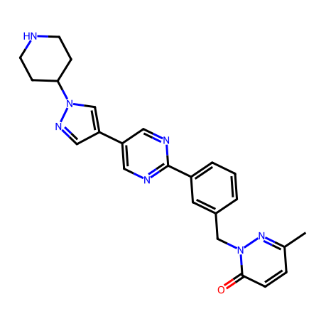 Cc1ccc(=O)n(Cc2cccc(-c3ncc(-c4cnn(C5CCNCC5)c4)cn3)c2)n1